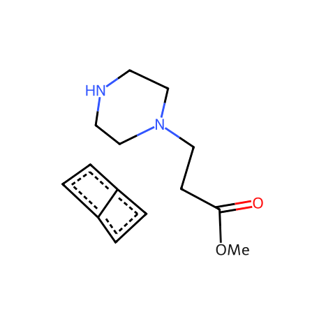 COC(=O)CCN1CCNCC1.c1cc2ccc1-2